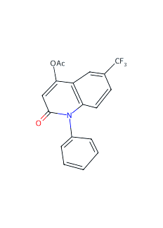 CC(=O)Oc1cc(=O)n(-c2ccccc2)c2ccc(C(F)(F)F)cc12